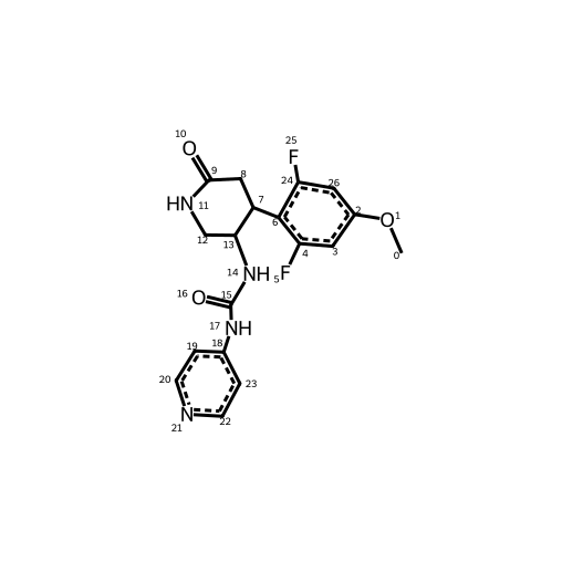 COc1cc(F)c(C2CC(=O)NCC2NC(=O)Nc2ccncc2)c(F)c1